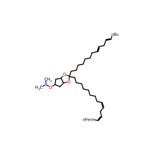 CCCC/C=C/C/C=C/CCCCCCCC1(CCCCCCCC/C=C\C/C=C\CCCCC)OC2CC(ON(C)C)CC2O1